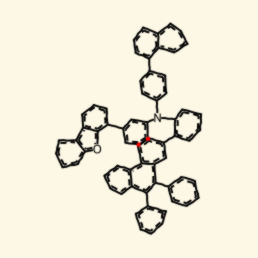 c1ccc(-c2c(-c3ccccc3)c3cc(-c4ccccc4N(c4ccc(-c5cccc6ccccc56)cc4)c4cccc(-c5cccc6c5oc5ccccc56)c4)ccc3c3ccccc23)cc1